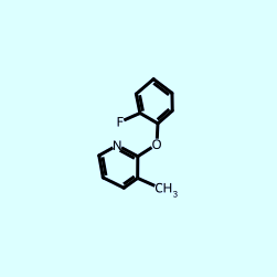 Cc1cccnc1Oc1ccccc1F